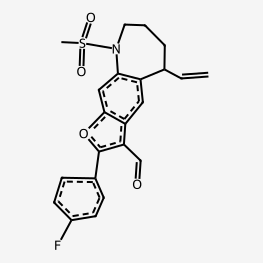 C=CC1CCCN(S(C)(=O)=O)c2cc3oc(-c4ccc(F)cc4)c(C=O)c3cc21